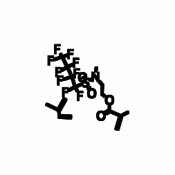 C=C(C)C(=O)OCCN(C)S(=O)(=O)C(F)(F)C(F)(F)C(F)(F)C(F)(F)F.C=CC(=C)C